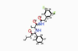 CCCC(=O)C(N[C@@H](C)C(=O)NC(=O)Cc1cc(F)cc(F)c1)c1ccccc1